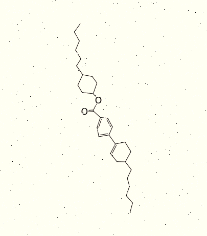 CCCCCCC1CC=C(c2ccc(C(=O)OC3CCC(CCCCCC)CC3)cc2)CC1